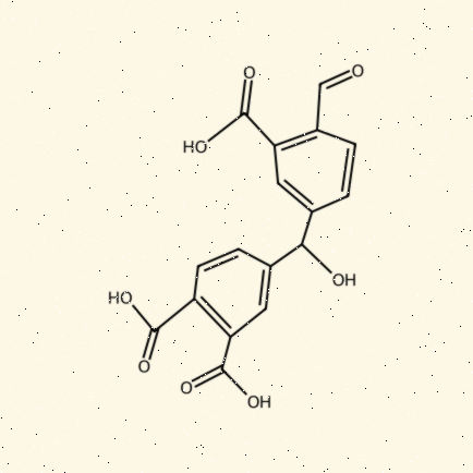 O=Cc1ccc(C(O)c2ccc(C(=O)O)c(C(=O)O)c2)cc1C(=O)O